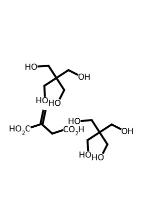 C=C(CC(=O)O)C(=O)O.OCC(CO)(CO)CO.OCC(CO)(CO)CO